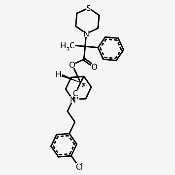 CC(C(=O)O[C@H]1C[N+]2(CCc3cccc(Cl)c3)CCC1CC2)(c1ccccc1)N1CCSCC1